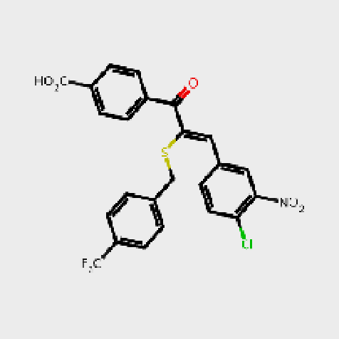 O=C(O)c1ccc(C(=O)C(=Cc2ccc(Cl)c([N+](=O)[O-])c2)SCc2ccc(C(F)(F)F)cc2)cc1